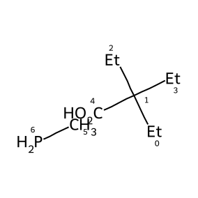 CCC(CC)(CC)C(=O)O.CP